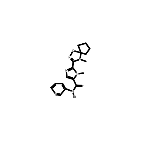 CCN(C(=O)c1cnc(C2=NOC3(CCCC3)N2C)n1C)c1cccnc1